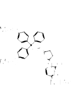 COc1ccc(C(OC[C@@H]2CC[C@H](n3ccc(NC(C)=O)nc3=O)O2)(c2ccccc2)c2ccc(OC)cc2)cc1